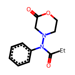 CCC(=O)N(c1ccccc1)N1CCOC(=O)C1